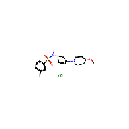 COC1CCN([C@H]2C=C[C@@H](N(C)S(=O)(=O)c3cccc(C)c3)C2)CC1.Cl